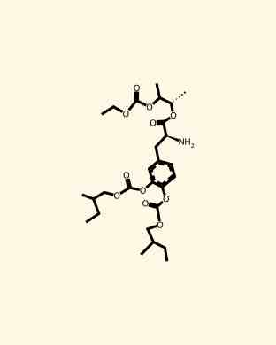 CCOC(=O)OC(C)[C@H](C)OC(=O)[C@@H](N)Cc1ccc(OC(=O)OCC(C)CC)c(OC(=O)OCC(C)CC)c1